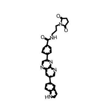 O=C(NCCCN1C(=O)CCC1=O)c1ccc(-c2cnc3cc(-c4ccc5[nH]ccc5c4)cnc3n2)cc1